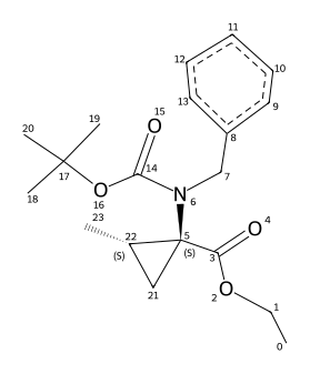 CCOC(=O)[C@]1(N(Cc2ccccc2)C(=O)OC(C)(C)C)C[C@@H]1C